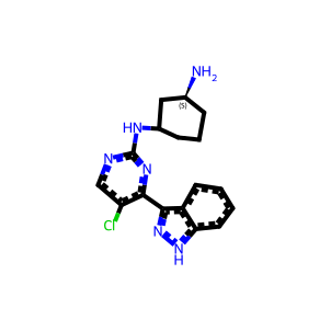 N[C@H]1CCCC(Nc2ncc(Cl)c(-c3n[nH]c4ccccc34)n2)C1